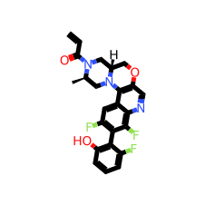 C=CC(=O)N1C[C@@H]2COc3cnc4c(F)c(-c5c(O)cccc5F)c(F)cc4c3N2C[C@H]1C